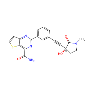 CN1CC[C@](O)(C#Cc2cccc(-c3nc(C(N)=O)c4sccc4n3)c2)C1=O